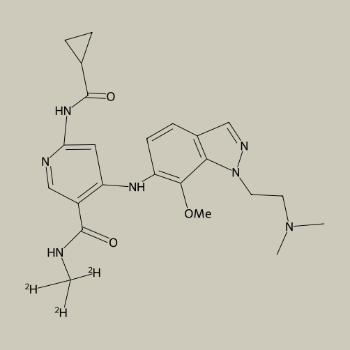 [2H]C([2H])([2H])NC(=O)c1cnc(NC(=O)C2CC2)cc1Nc1ccc2cnn(CCN(C)C)c2c1OC